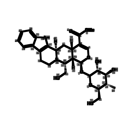 COC(=O)C1=CO[C@@H](OC2O[C@H](CO)[C@@H](C)[C@H](O)[C@H]2O)[C@H]2[C@@H]1C[C@@H]1c3[nH]c4ccccc4c3CCN1[C@H]2CO